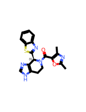 Cc1nc(C)c(C(=O)N2CCc3[nH]cnc3[C@H]2c2nc3ccccc3s2)o1